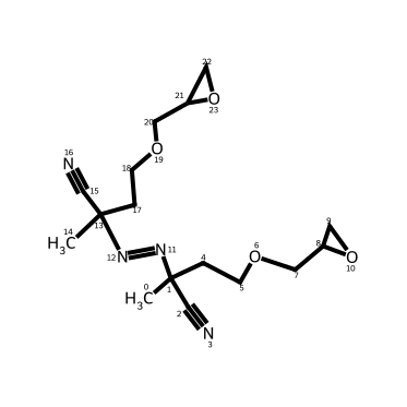 CC(C#N)(CCOCC1CO1)N=NC(C)(C#N)CCOCC1CO1